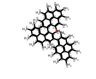 Bc1c(B)c(B)c2c(c1B)c(B)c(B)c1c(B)c(-c3c(B)c(B)c4c(B)c(B)c5c(B)c(B)c(B)c6c(B)c(B)c3c4c56)c(B)c(-c3c(B)c(B)c4c(B)c(B)c5c(B)c(B)c(B)c6c(B)c(B)c3c4c56)c12